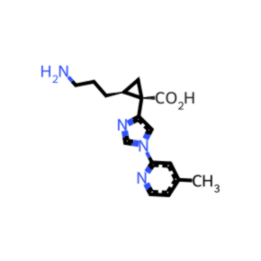 Cc1ccnc(-n2cnc([C@@]3(C(=O)O)C[C@@H]3CCCN)c2)c1